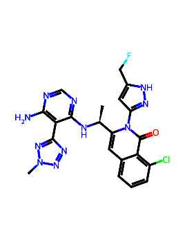 C[C@H](Nc1ncnc(N)c1-c1nnn(C)n1)c1cc2cccc(Cl)c2c(=O)n1-c1cc(CF)[nH]n1